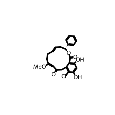 CO/C1=C\C(=O)Cc2c(Cl)c(O)cc(O)c2C(=O)O[C@@H](c2ccccc2)C/C=C/CC1